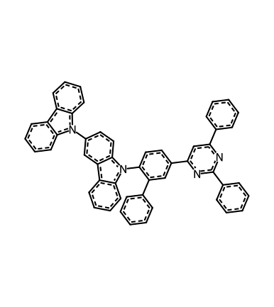 c1ccc(-c2cc(-c3ccc(-n4c5ccccc5c5cc(-n6c7ccccc7c7ccccc76)ccc54)c(-c4ccccc4)c3)nc(-c3ccccc3)n2)cc1